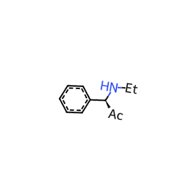 CCN[C@@H](C(C)=O)c1ccccc1